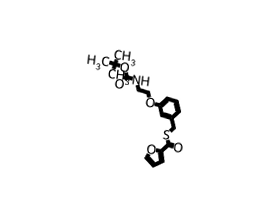 CC(C)(C)OC(=O)NCCOc1cccc(CSC(=O)c2ccco2)c1